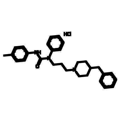 Cc1ccc(NC(=O)N(CCCN2CCC(Cc3ccccc3)CC2)c2ccccc2)cc1.Cl